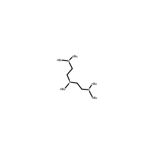 CCCCN(CCCC)CCN(CCCC)CCN(CCCC)CCCC